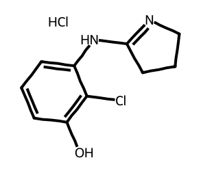 Cl.Oc1cccc(NC2=NCCC2)c1Cl